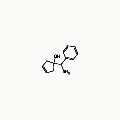 NC(c1ccccc1)C1(O)CC=CC1